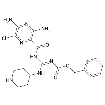 Nc1nc(N)c(C(=O)NC(=NC(=O)OCc2ccccc2)NC2CCNCC2)nc1Cl